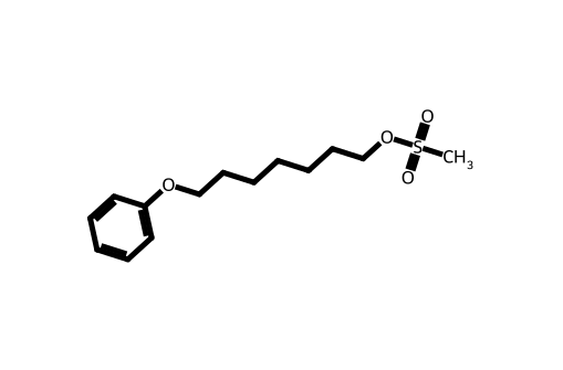 CS(=O)(=O)OCCCCCCCOc1ccccc1